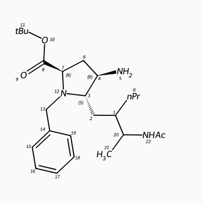 CCCC(C[C@H]1[C@H](N)C[C@H](C(=O)OC(C)(C)C)N1Cc1ccccc1)C(C)NC(C)=O